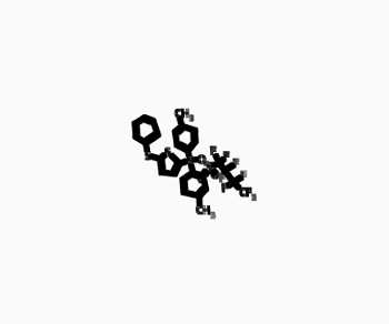 Cc1ccc(S(OS(=O)(=O)C(F)(F)C(F)(F)C(F)(F)C(F)(F)F)(c2ccc(C)cc2)c2ccc(Sc3ccccc3)s2)cc1